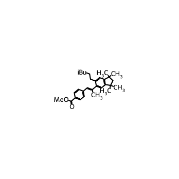 CCC(C)CCc1cc2c(cc1C(C)=Cc1ccc(C(=O)OC)cc1)C(C)(C)CC2(C)C